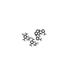 CC(C)c1ccc(C(C)C)c(OC(=O)[O-])c1O.CC(C)c1ccc(C(C)C)c(OC(=O)[O-])c1O.CC(C)c1cccc(C(C)C)c1N=C1C(=Nc2c(C(C)C)cccc2C(C)C)c2cccc3cccc1c23.[Ni+2]